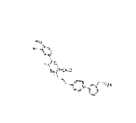 CCN(C=O)/C(CCCc1ccc(-c2cccc(CC(=O)O)c2)cc1)=N\N(C)Cc1ccc(C(C)(C)C)c(Br)c1